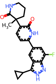 CC1(c2ccc(-c3cc(F)c4n[nH]c(C5CC5)c4c3)[nH]c2=O)CCCNC1=O